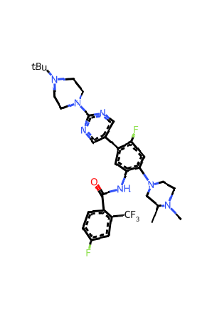 CC1CN(c2cc(F)c(-c3cnc(N4CCN(C(C)(C)C)CC4)nc3)cc2NC(=O)c2ccc(F)cc2C(F)(F)F)CCN1C